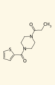 CCC(=O)N1CCN(C(=O)c2cccs2)CC1